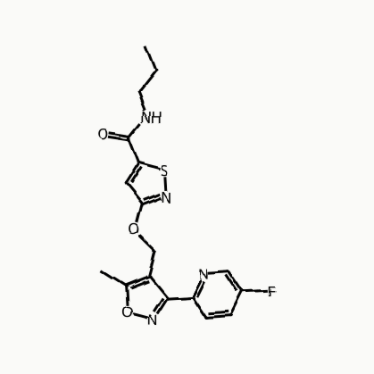 CCCNC(=O)c1cc(OCc2c(-c3ccc(F)cn3)noc2C)ns1